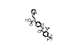 CN(C)c1cc(C(F)(F)F)ccc1C(=O)Nc1ccc(N(CCn2cccn2)C(=O)O)cc1